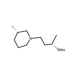 CN[C@@H](C)CCN1CCC[C@H](C)C1